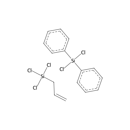 C=CC[Si](Cl)(Cl)Cl.Cl[Si](Cl)(c1ccccc1)c1ccccc1